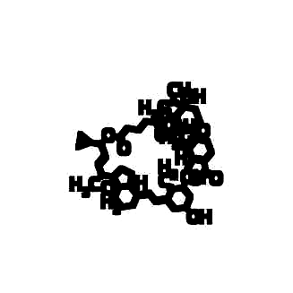 C=C1/C(=C\C=C2/CCC[C@]3(C)C([C@@H](C)/C=C/C(OC(=O)CCCC(=O)O[C@H]4[C@]56O[C@H]5C[C@H]5C7=C(CC[C@]5(C)[C@@]65O[C@H]5C[C@@]4(O)C(C)C)C(=O)OC7)C4CC4)CC[C@@H]23)C[C@@H](O)C[C@@H]1O